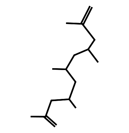 C=C(C)CC(C)CC(C)CC(C)CC(=C)C